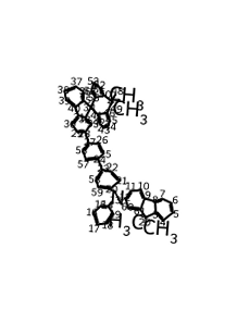 CC1(C)c2ccccc2-c2ccc(N(c3ccccc3)c3ccc(-c4ccc(-c5ccc6c(c5)C5(c7ccccc7-6)c6ccccc6C(C)(C)c6ccccc65)cc4)cc3)cc21